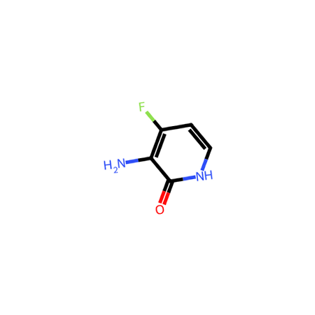 Nc1c(F)cc[nH]c1=O